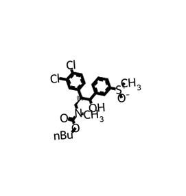 CCCCOC(=O)N(C)C[C@@H](c1ccc(Cl)c(Cl)c1)C(O)c1cccc([S+](C)[O-])c1